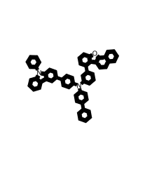 c1ccc(-c2ccc(N(c3ccc(-c4ccc5c(c4)c4ccccc4n5-c4ccccc4)cc3)c3cccc(-c4cccc5oc6c7ccccc7ccc6c45)c3)cc2)cc1